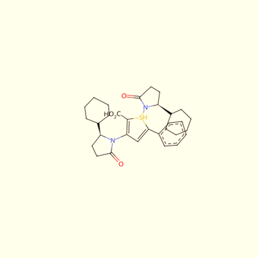 O=C(O)C1=C(N2C(=O)CC[C@H]2C2CCCCC2)C=C(c2ccccc2)[SH]1N1C(=O)CC[C@H]1C1CCCCC1